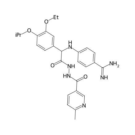 CCOc1cc(C(Nc2ccc(C(=N)N)cc2)C(=O)NNC(=O)c2ccc(C)nc2)ccc1OC(C)C